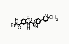 CCNC(=O)c1ccc(F)c(NC(=O)c2cnc3cc(-c4ccc(C)nc4)ccn23)c1